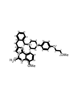 COCCOc1ccc(N2CCN(Cc3ccccc3Cc3cn4c(N)nc5c(OC)cccc5c4n3)CC2)cc1